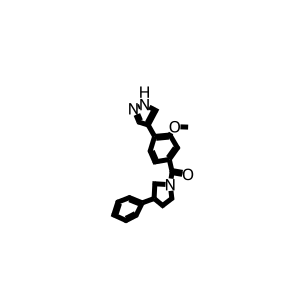 COc1cc(C(=O)N2CCC(c3ccccc3)C2)ccc1-c1cn[nH]c1